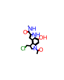 CNC(=O)c1cc2c3c(cc(O)c2[nH]1)N(C(C)=O)CC3CCl